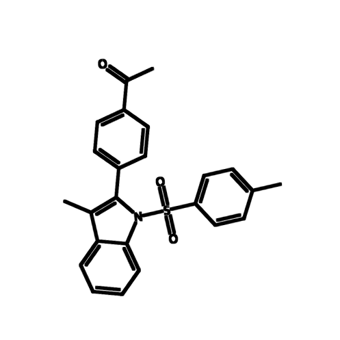 CC(=O)c1ccc(-c2c(C)c3ccccc3n2S(=O)(=O)c2ccc(C)cc2)cc1